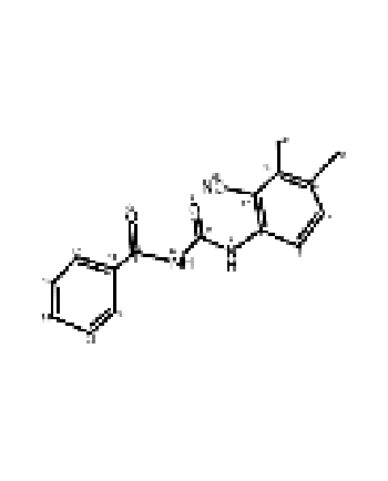 Cc1ccc(NC(=O)NC(=O)c2ccccc2)c(C#N)c1C